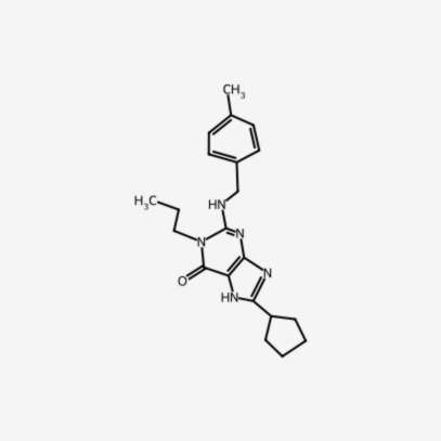 CCCn1c(NCc2ccc(C)cc2)nc2nc(C3CCCC3)[nH]c2c1=O